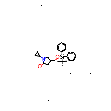 CC(C)(C)[Si](OCC1CC(=O)N(C2CC2)C1)(c1ccccc1)c1ccccc1